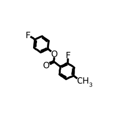 Cc1ccc(C(=O)Oc2ccc(F)cc2)c(F)c1